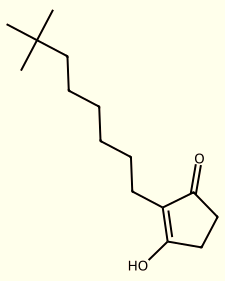 CC(C)(C)CCCCCCC1=C(O)CCC1=O